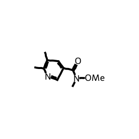 CON(C)C(=O)c1cnc(C)c(C)c1